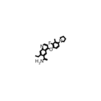 C=C(N)c1cc2c(Oc3ccc(N4CCCC4)c(C)c3F)ccnc2cc1CC